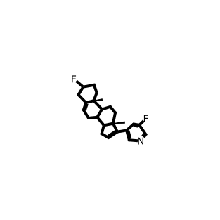 C[C@]12CCC(F)CC1=CCC1C2CC[C@]2(C)C(c3cncc(F)c3)=CCC12